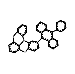 c1ccc(-c2c3ccccc3c(-c3ccc4c(c3)B3c5ccccc5Sc5cccc(c53)S4)c3ccccc23)cc1